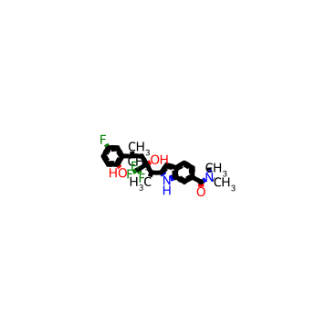 CC(c1cc2ccc(C(=O)N(C)C)cc2[nH]1)C(O)(CC(C)(C)c1cc(F)ccc1O)C(F)(F)F